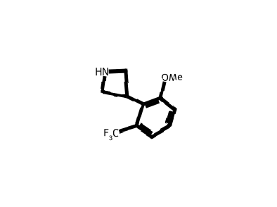 COc1cccc(C(F)(F)F)c1C1CNC1